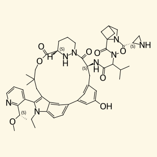 CCn1c(-c2cccnc2[C@H](C)OC)c2c3cc(ccc31)-c1cc(O)cc(c1)C[C@H](NC(=O)C(C(C)C)N(C)C(=O)C13CC(CN1C(=O)[C@@H]1CN1)C3)C(=O)N1CCC[C@H](N1)C(=O)OCC(C)(C)C2